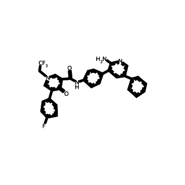 Nc1ncc(-c2ccccc2)cc1-c1ccc(NC(=O)c2cn(CC(F)(F)F)cc(-c3ccc(F)cc3)c2=O)cc1